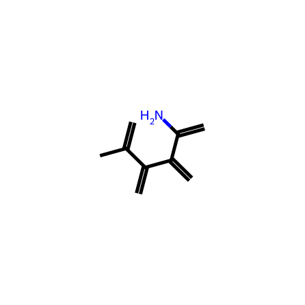 C=C(C)C(=C)C(=C)C(=C)N